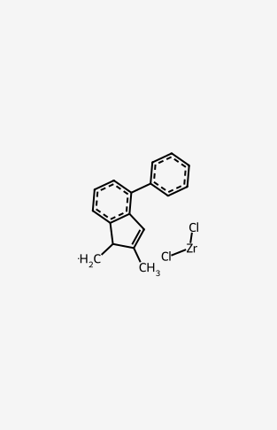 [CH2]C1C(C)=Cc2c(-c3ccccc3)cccc21.[Cl][Zr][Cl]